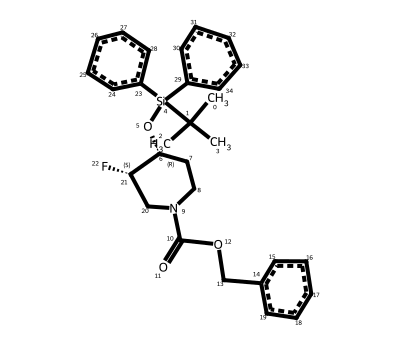 CC(C)(C)[Si](O[C@@H]1CCN(C(=O)OCc2ccccc2)C[C@@H]1F)(c1ccccc1)c1ccccc1